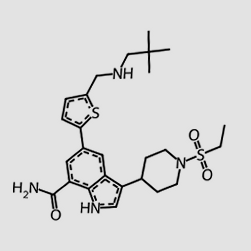 CCS(=O)(=O)N1CCC(c2c[nH]c3c(C(N)=O)cc(-c4ccc(CNCC(C)(C)C)s4)cc23)CC1